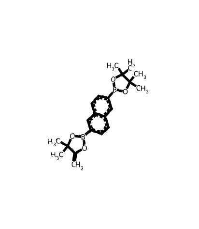 C=C1OB(c2ccc3cc(B4OC(C)(C)C(C)(C)O4)ccc3c2)OC1(C)C